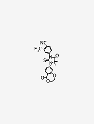 CC1(C)C(=O)N(c2ccc(C#N)c(C(F)(F)F)c2)C(=S)N1c1ccc2c(c1)OCCOC2=O